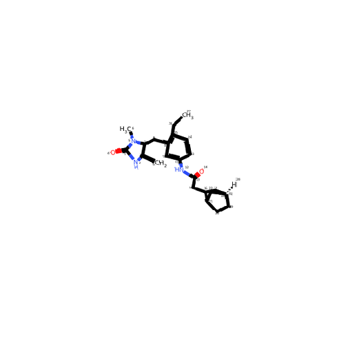 C=C1NC(=O)N(C)C1Cc1cc(NC(=O)CC2C[C@H]3CCC2C3)ccc1CC